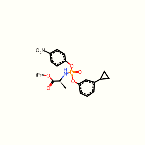 CC(C)OC(=O)[C@H](C)NP(=O)(Oc1ccc([N+](=O)[O-])cc1)Oc1cccc(C2CC2)c1